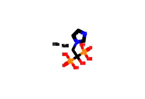 O=P(O)(O)C(O)(Cn1ccnc1)P(=O)(O)O.[NaH].[NaH]